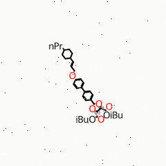 CCCC1CCC(C=CCOc2ccc(-c3ccc(C4O[C@@H](C(=O)OCC(C)C)[C@H](C(=O)OCC(C)C)O4)cc3)cc2)CC1